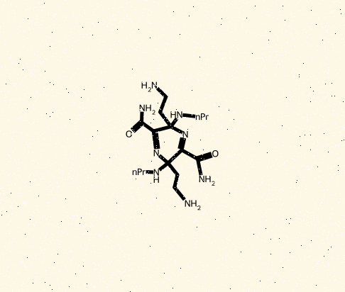 CCCNC1(CCN)N=C(C(N)=O)C(CCN)(NCCC)N=C1C(N)=O